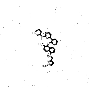 Cc1ccc2c(NCc3ccn(C)n3)cccc2c1Oc1ncccc1-c1ccnc(NC2CCCNC2)n1